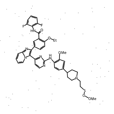 CCOc1ccc(-c2nc3ccccn3c2-c2ccnc(Nc3ccc(C4CCN(CCSOOC)CC4)cc3OC)n2)cc1C(=O)Nc1c(F)cccc1F